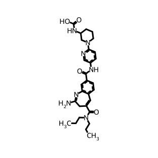 CCCN(CCC)C(=O)C1=Cc2ccc(C(=O)Nc3ccc(N4CCCC(NC(=O)O)C4)nc3)cc2N=C(N)C1